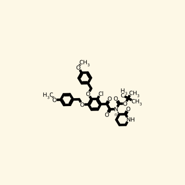 COc1ccc(COc2ccc(C(=O)C(=O)N(C(=O)OC(C)(C)C)[C@H]3CCCNC3=O)c(Cl)c2OCc2ccc(OC)cc2)cc1